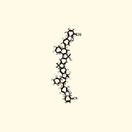 CC1(C)c2cc3c(cc2-c2cc4c(cc21)-c1c(cc(-c2ccc5c(c2)oc2c(C#N)cccc25)c2ccccc12)C4(C)C)C(C)(C)c1cc(-c2ccc4c(c2)oc2c(C#N)cccc24)c2ccccc2c1-3